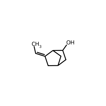 C/C=C1/CC2CC(O)C1C2